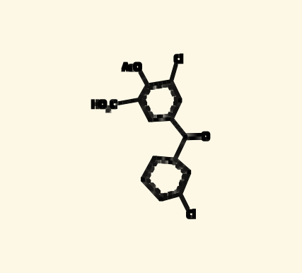 CC(=O)Oc1c(Cl)cc(C(=O)c2cccc(Cl)c2)cc1C(=O)O